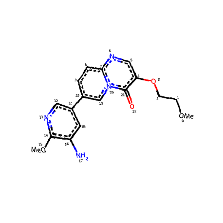 COCCOc1cnc2ccc(-c3cnc(OC)c(N)c3)cn2c1=O